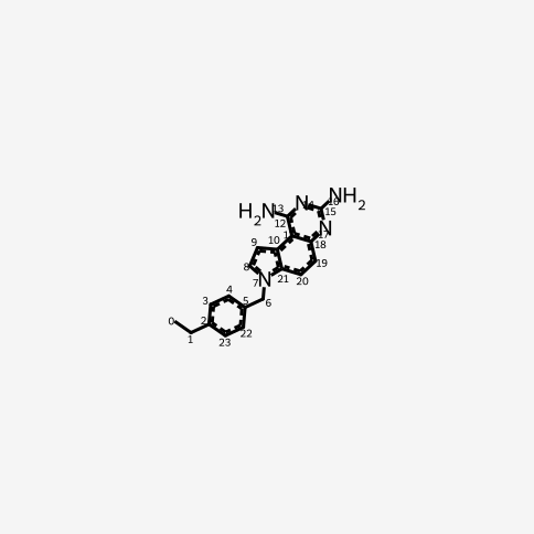 CCc1ccc(Cn2ccc3c4c(N)nc(N)nc4ccc32)cc1